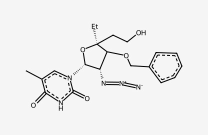 CC[C@@]1(CCO)O[C@@H](n2cc(C)c(=O)[nH]c2=O)[C@@H](N=[N+]=[N-])C1OCc1ccccc1